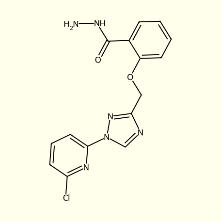 NNC(=O)c1ccccc1OCc1ncn(-c2cccc(Cl)n2)n1